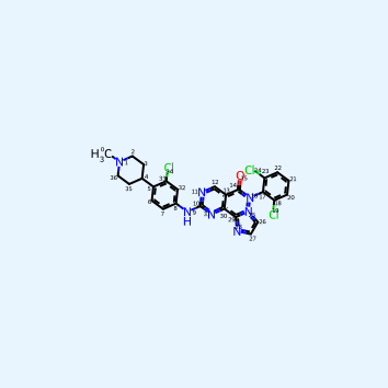 CN1CCC(c2ccc(Nc3ncc4c(=O)n(-c5c(Cl)cccc5Cl)n5ccnc5c4n3)cc2Cl)CC1